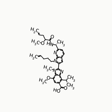 C=CCCCn1c(-c2nc3c(C(C)C)c(C(=O)O)cc(OC)c3n2C)cc2ccc([C@@H](C)NC(=O)C(CC=C)OC)nc21